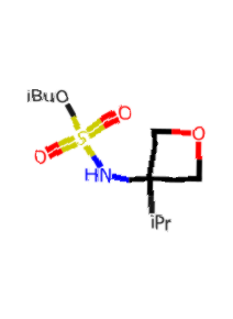 CC(C)COS(=O)(=O)NC1(C(C)C)COC1